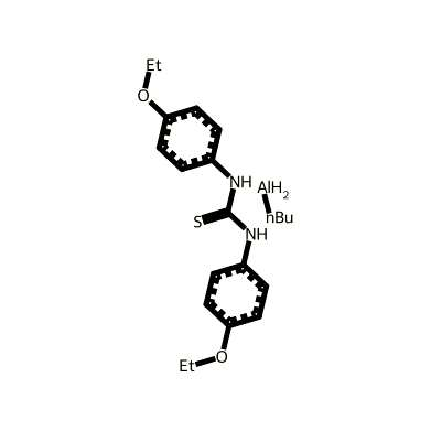 CCC[CH2][AlH2].CCOc1ccc(NC(=S)Nc2ccc(OCC)cc2)cc1